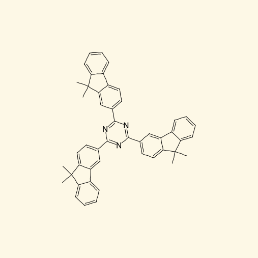 CC1(C)c2ccccc2-c2cc(-c3nc(-c4ccc5c(c4)-c4ccccc4C5(C)C)nc(-c4ccc5c(c4)C(C)(C)c4ccccc4-5)n3)ccc21